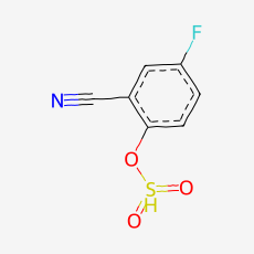 N#Cc1cc(F)ccc1O[SH](=O)=O